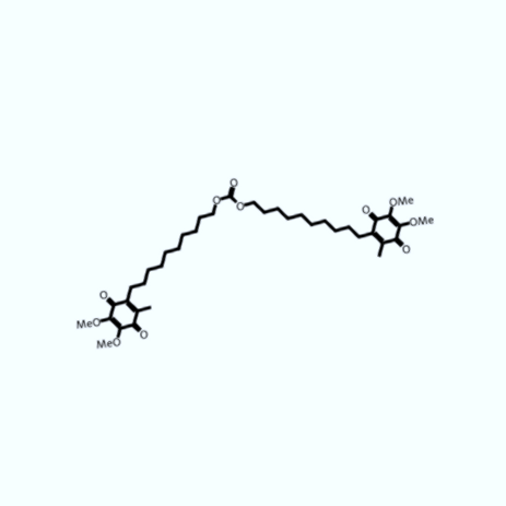 COC1=C(OC)C(=O)C(CCCCCCCCCCOC(=O)OCCCCCCCCCCC2=C(C)C(=O)C(OC)=C(OC)C2=O)=C(C)C1=O